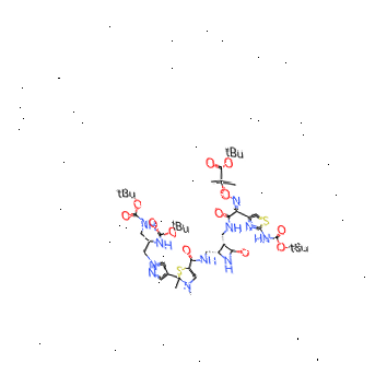 CN1C=C(C(=O)NC[C@H]2NC(=O)[C@H]2CNC(=O)/C(=N\OC(C)(C)C(=O)OC(C)(C)C)c2csc(NC(=O)OC(C)(C)C)n2)SC1(C)c1cnn(CC(CNC(=O)OC(C)(C)C)NC(=O)OC(C)(C)C)c1